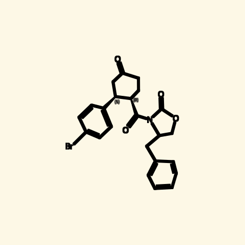 O=C1CC[C@@H](C(=O)N2C(=O)OCC2Cc2ccccc2)[C@@H](c2ccc(Br)cc2)C1